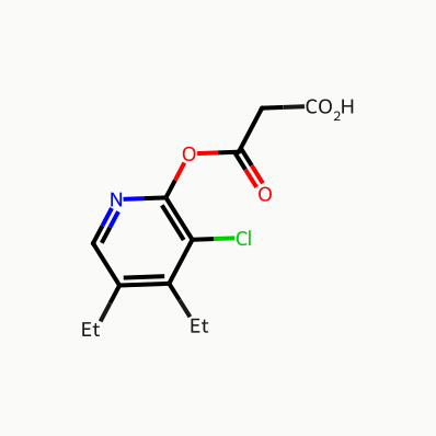 CCc1cnc(OC(=O)CC(=O)O)c(Cl)c1CC